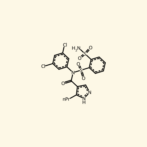 CCCc1[nH]ncc1C(=O)N(c1cc(Cl)cc(Cl)c1)S(=O)(=O)c1ccccc1S(N)(=O)=O